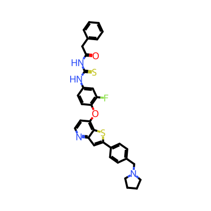 O=C(Cc1ccccc1)NC(=S)Nc1ccc(Oc2ccnc3cc(-c4ccc(CN5CCCC5)cc4)sc23)c(F)c1